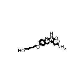 NC(=O)CC1C(=O)NC2=Nc3ccc(OCCCCCO)cc3CN21